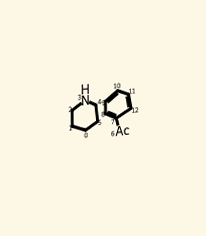 C1CCNCC1.CC(=O)c1ccccc1